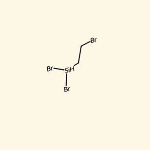 BrCC[SiH](Br)Br